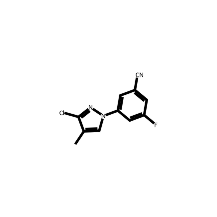 Cc1cn(-c2cc(F)cc(C#N)c2)nc1Cl